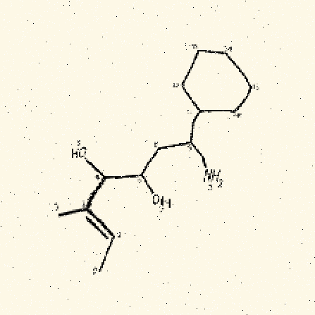 CC=C(C)C(O)C(O)CC(N)C1CCCCC1